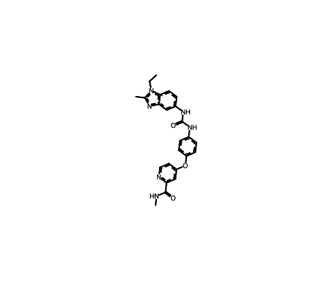 CCn1c(C)nc2cc(NC(=O)Nc3ccc(Oc4ccnc(C(=O)NC)c4)cc3)ccc21